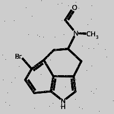 CN(C=O)C1Cc2c[nH]c3ccc(Br)c(c23)C1